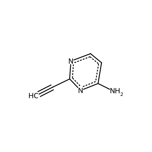 C#Cc1nccc(N)n1